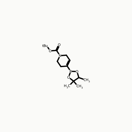 CC1OB(C2=CCN(C(=O)OC(C)(C)C)CC2)OC1(C)C